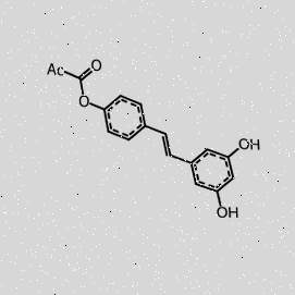 CC(=O)C(=O)Oc1ccc(C=Cc2cc(O)cc(O)c2)cc1